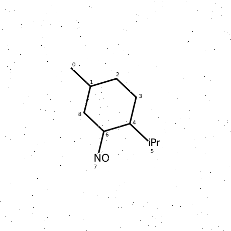 CC1CCC(C(C)C)C(N=O)C1